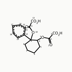 O=C(O)C(=O)OC1CCCCC1(OC(=O)C(=O)O)c1ccccc1